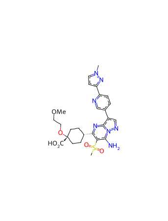 COCCO[C@]1(C(=O)O)CC[C@H](c2nc3c(-c4ccc(-c5ccn(C)n5)nc4)cnn3c(N)c2S(C)(=O)=O)CC1